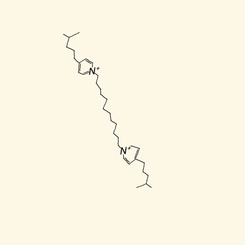 CC(C)CCCc1cc[n+](CCCCCCCCCCCC[n+]2ccc(CCCC(C)C)cc2)cc1